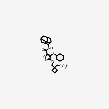 O=C(O)CC1(COc2noc(C(=O)NC3C4CC5CC(C4)CC3C5)c2SC2CCCCC2)CCC1